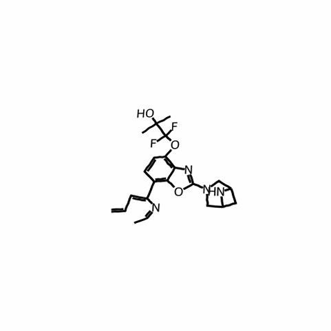 C=C/C=C(\N=C/C)c1ccc(OC(F)(F)C(C)(C)O)c2nc(N3CC4CC(C3)N4)oc12